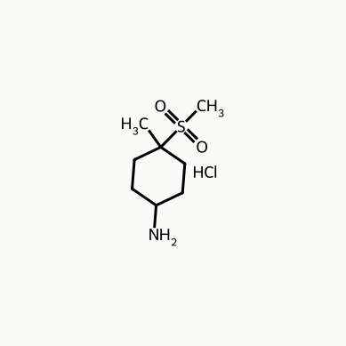 CC1(S(C)(=O)=O)CCC(N)CC1.Cl